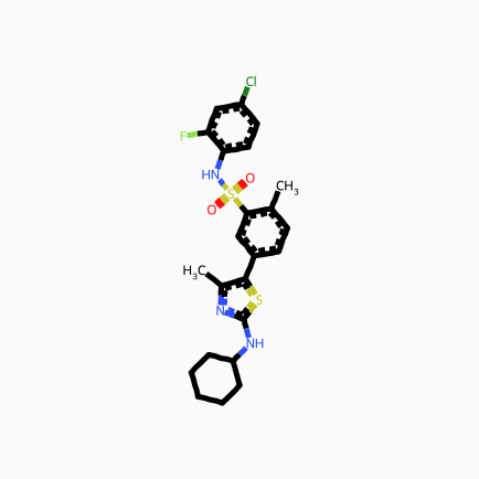 Cc1ccc(-c2sc(NC3CCCCC3)nc2C)cc1S(=O)(=O)Nc1ccc(Cl)cc1F